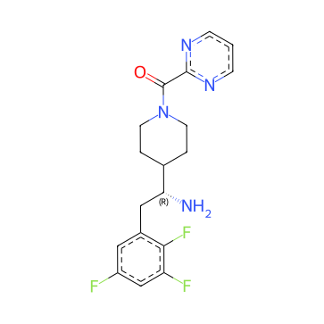 N[C@H](Cc1cc(F)cc(F)c1F)C1CCN(C(=O)c2ncccn2)CC1